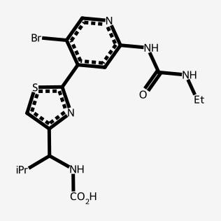 CCNC(=O)Nc1cc(-c2nc(C(NC(=O)O)C(C)C)cs2)c(Br)cn1